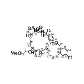 COCCO[C@H]1/C=C/C[C@H]2COC[C@@H]2S(=O)(=O)NC(=O)c2ccc3c(c2)N(CCCCc2cc(Cl)ccc2CO3)C[C@@H]2CC[C@H]21